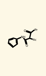 CC(=O)C(C(=O)Nc1ccccc1)C(=O)C(C)C